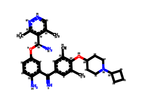 Cc1cc(C(=N)c2cc(O[C@H](N)c3c(C)cnnc3C)ccc2N)cc(C#N)c1OC1CCN(C2CCC2)CC1